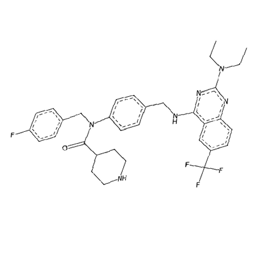 CCN(CC)c1nc(NCc2ccc(N(Cc3ccc(F)cc3)C(=O)C3CCNCC3)cc2)c2cc(C(F)(F)F)ccc2n1